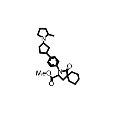 COC(=O)C1CC2(CCCCC2)C(=O)N1c1ccc(C2CCC(N3CCCC3C)C2)cc1